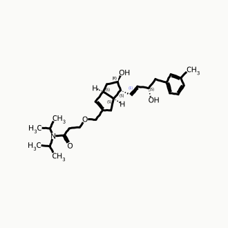 Cc1cccc(C[C@H](O)/C=C/[C@@H]2[C@H]3CC(COCCC(=O)N(C(C)C)C(C)C)=C[C@H]3C[C@H]2O)c1